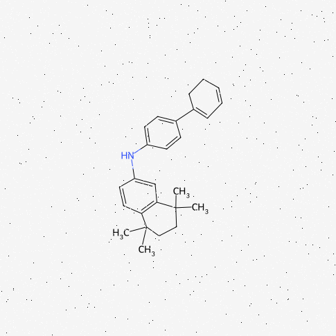 CC1(C)CCC(C)(C)c2cc(Nc3ccc(C4=CC=CCC4)cc3)ccc21